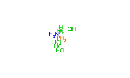 Cl.Cl.Cl.Cl.Cl.Cl.N.P